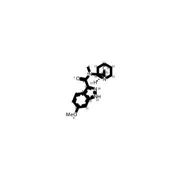 COc1ccc2c(C(=O)N(C)[C@H]3CC4CCN3CC4)n[nH]c2c1